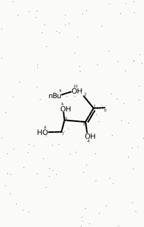 CC(C)=C(O)C(O)CO.CCCCO